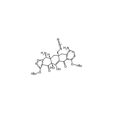 CCCCOc1ccc(N)c2c1C(=O)C1=C(O)[C@]3(O)C(=O)c4c(OCCCC)noc4[C@@H](N)[C@@H]3C[C@]1(CN=[N+]=[N-])C2